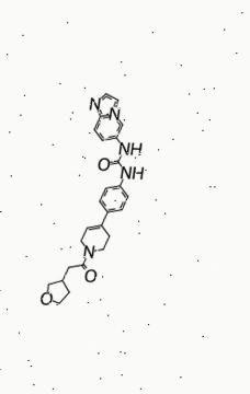 O=C(Nc1ccc(C2=CCN(C(=O)CC3CCOC3)CC2)cc1)Nc1ccc2nccn2c1